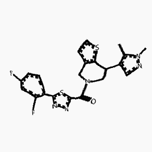 Cc1c(C2CN(C(=O)c3nnc(-c4ccc(F)cc4F)s3)Cc3ccsc32)cnn1C